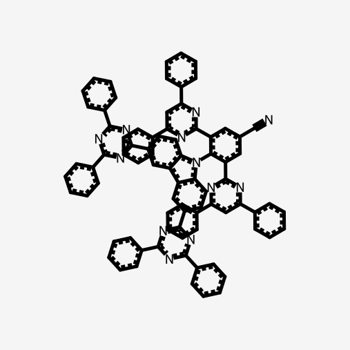 N#Cc1cc(-c2nc(-c3ccccc3)cc(-c3ccccc3)n2)c(-n2c3ccc(-c4nc(-c5ccccc5)nc(-c5ccccc5)n4)cc3c3cc(-c4nc(-c5ccccc5)nc(-c5ccccc5)n4)ccc32)c(-c2nc(-c3ccccc3)cc(-c3ccccc3)n2)c1